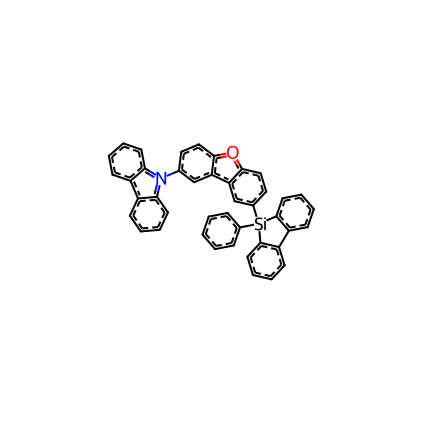 c1ccc([Si]2(c3ccc4oc5ccc(-n6c7ccccc7c7ccccc76)cc5c4c3)c3ccccc3-c3ccccc32)cc1